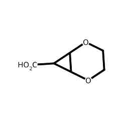 O=C(O)C1C2OCCOC21